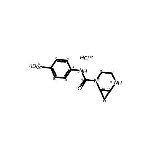 CCCCCCCCCCc1ccc(NC(=O)N2CCNC3CC32)cc1.Cl